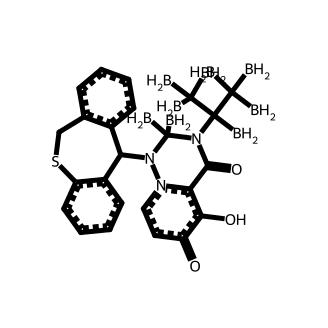 BC1(B)N(C2c3ccccc3CSc3ccccc32)n2ccc(=O)c(O)c2C(=O)N1C(B)(C(B)(B)B)C(B)(B)B